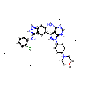 Nc1ncnc2c1c(-c1ccc3[nH]nc(Nc4ccccc4Cl)c3c1)nn2C1CCC(N2CCOCC2)CC1